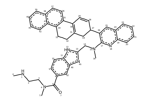 CNCCN(C)C(=O)c1ccc2[nH]c(CN(C)c3nc4ccccc4cc3C3C=CC4=C(CCc5c4ccc4ccccc54)C3)nc2c1